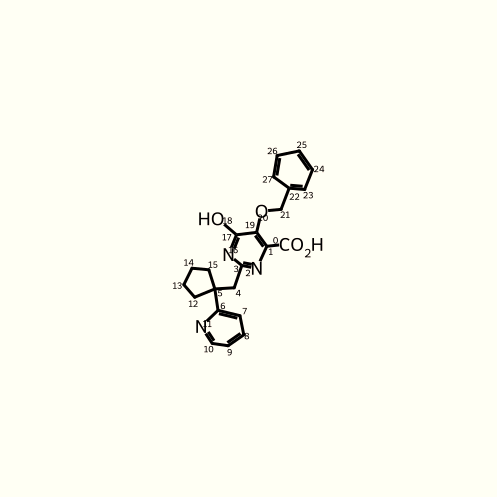 O=C(O)c1nc(CC2(c3ccccn3)CCCC2)nc(O)c1OCc1ccccc1